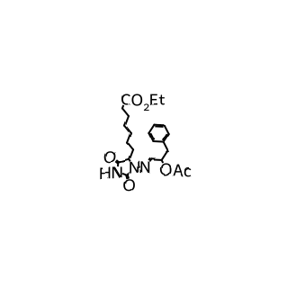 CCOC(=O)CCCCCCC1C(=O)NC(=O)N1N=CC(Cc1ccccc1)OC(C)=O